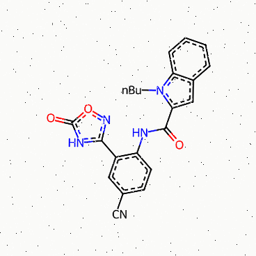 CCCCn1c(C(=O)Nc2ccc(C#N)cc2-c2noc(=O)[nH]2)cc2ccccc21